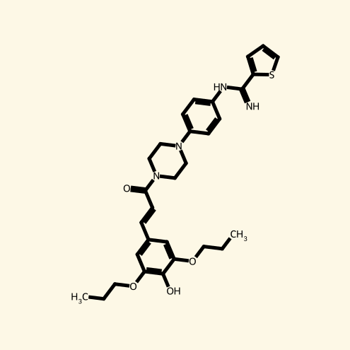 CCCOc1cc(/C=C/C(=O)N2CCN(c3ccc(NC(=N)c4cccs4)cc3)CC2)cc(OCCC)c1O